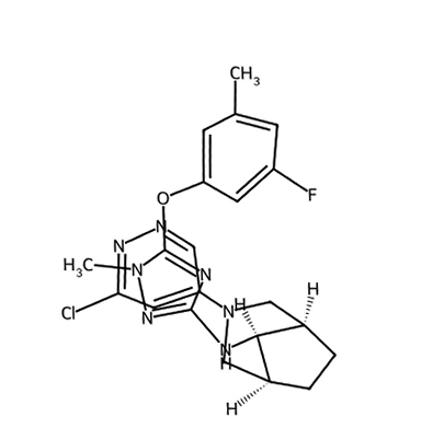 Cc1cc(F)cc(Oc2nc(N[C@H]3[C@@H]4CC[C@H]3CN(c3cnnc(Cl)c3)C4)nn2C)c1